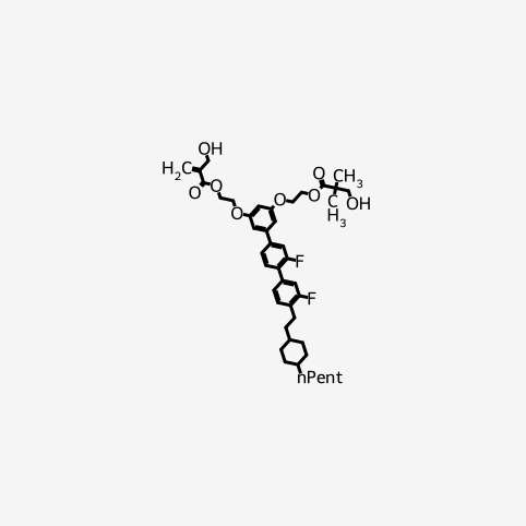 C=C(CO)C(=O)OCCOc1cc(OCCOC(=O)C(C)(C)CO)cc(-c2ccc(-c3ccc(CCC4CCC(CCCCC)CC4)c(F)c3)c(F)c2)c1